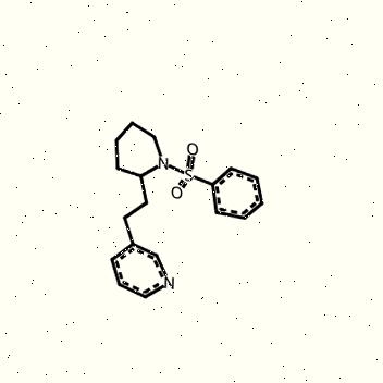 O=S(=O)(c1ccccc1)N1CCCCC1CCc1cccnc1